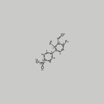 O=[C]c1c(F)ccc(-c2ccc([N+](=O)[O-])cc2)c1F